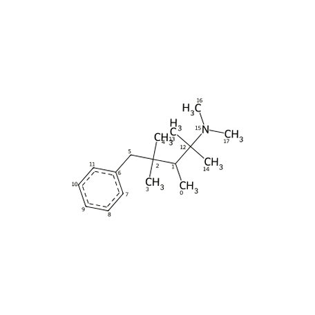 CC(C(C)(C)Cc1ccccc1)C(C)(C)N(C)C